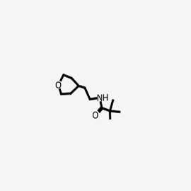 CC(C)(C)C(=O)NCCC1CCOCC1